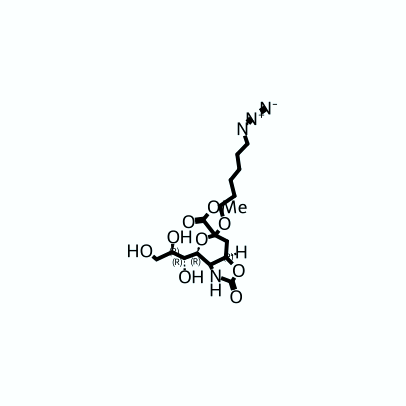 COC(=O)C1(OCCCCCCN=[N+]=[N-])C[C@H]2OC(=O)NC2[C@H]([C@H](O)[C@H](O)CO)O1